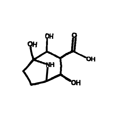 O=C(O)C1C(O)C2CCC(O)(N2)C1O